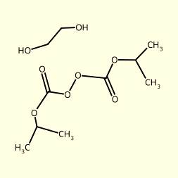 CC(C)OC(=O)OOC(=O)OC(C)C.OCCO